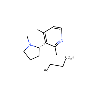 CC(=O)CCC(=O)O.Cc1ccnc(C)c1[C@@H]1CCCN1C